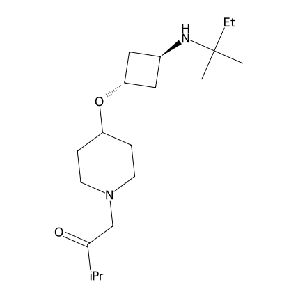 CCC(C)(C)N[C@H]1C[C@H](OC2CCN(CC(=O)C(C)C)CC2)C1